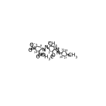 COc1cc(/N=N/c2ccc([N+](=O)[O-])cc2[N+](=O)[O-])c(C)cc1/N=N/c1ccc(C)cc1